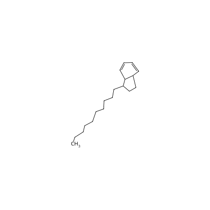 CCCCCCCCCCC1CCC2C=CC=CC21